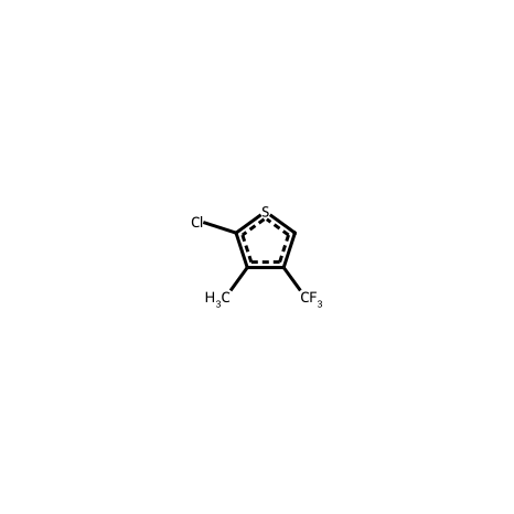 Cc1c(C(F)(F)F)csc1Cl